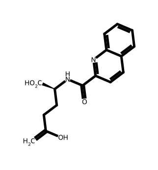 C=C(O)CC[C@H](NC(=O)c1ccc2ccccc2n1)C(=O)O